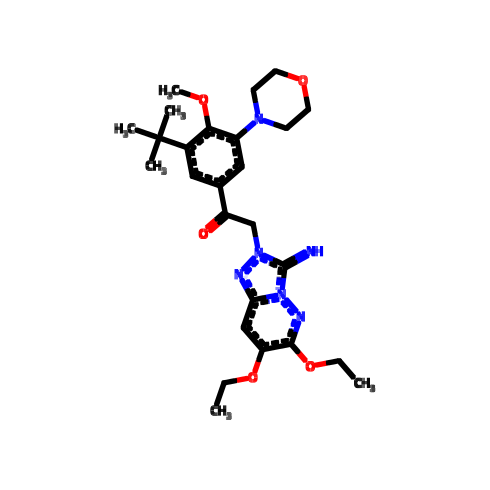 CCOc1cc2nn(CC(=O)c3cc(N4CCOCC4)c(OC)c(C(C)(C)C)c3)c(=N)n2nc1OCC